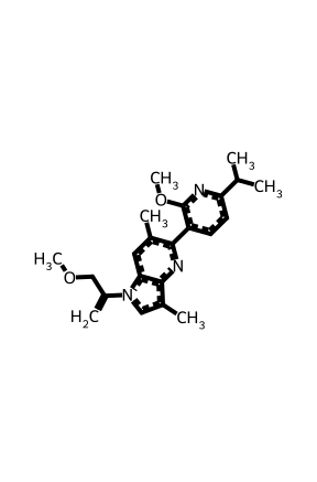 C=C(COC)n1cc(C)c2nc(-c3ccc(C(C)C)nc3OC)c(C)cc21